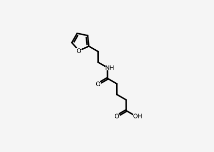 O=C(O)CCCC(=O)NCCc1ccco1